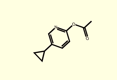 CC(=O)Oc1ccc(C2CC2)cn1